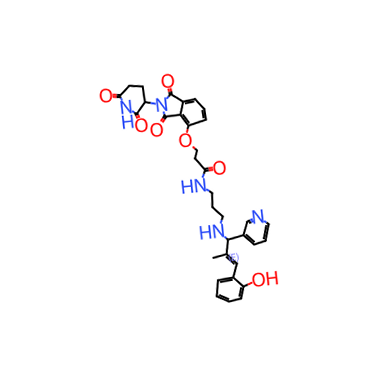 C/C(=C\c1ccccc1O)C(NCCCNC(=O)CCOc1cccc2c1C(=O)N(C1CCC(=O)NC1=O)C2=O)c1cccnc1